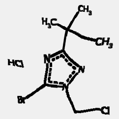 CC(C)(C)c1nc(Br)n(CCl)n1.Cl